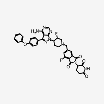 Nc1ncnc2c1c(-c1ccc(Oc3ccccc3)cc1)nn2C1CCN(Cc2cc(F)c3c(c2)C(=O)N(C2CCC(=O)NC2=O)C3=O)CC1F